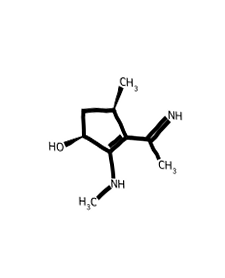 CNC1=C(C(C)=N)[C@H](C)C[C@@H]1O